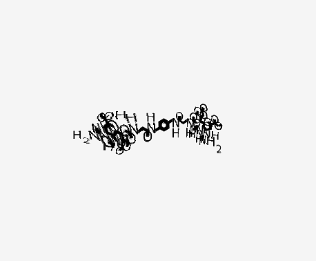 COC(=O)C1=C[C@H](NC(=N)N)C(NC(C)=O)[C@H]([C@H](OC(=O)NCCC(=O)NCc2ccc(CNC(=O)CCNC(=O)O[C@H](C3COC(=O)O3)[C@@H]3OC([C@H](O)OC)=C[C@H](NC(=N)N)C3NC(C)=O)cc2)[C@H]2COC(=O)O2)O1